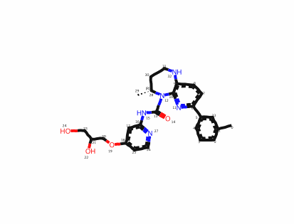 Cc1cccc(-c2ccc3c(n2)N(C(=O)Nc2cc(OCC(O)CO)ccn2)[C@H](C)CCN3)c1